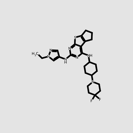 CCn1cc(Nc2nc(NC3CCC(N4CCC(F)(F)CC4)CC3)c3c4c(sc3n2)CCC4)cn1